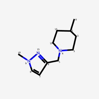 CC1CCN(Cc2ccn(C)n2)CC1